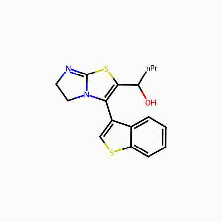 CCCC(O)C1=C(c2csc3ccccc23)N2CCN=C2S1